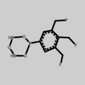 FCc1cc(B2OBOBO2)cc(CF)c1CF